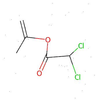 C=C(C)OC(=O)C(Cl)Cl